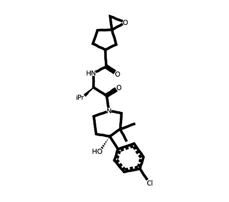 CC(C)[C@@H](NC(=O)C1CCC2(CO2)C1)C(=O)N1CC[C@](O)(c2ccc(Cl)cc2)C(C)(C)C1